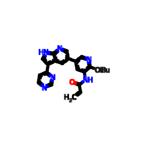 C=CC(=O)Nc1cc(-c2cnc3[nH]cc(-c4ccncn4)c3c2)cnc1OCC(C)C